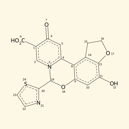 O=C(O)c1cn2c(cc1=O)-c1c(cc(O)c3c1CCO3)OC2c1nccs1